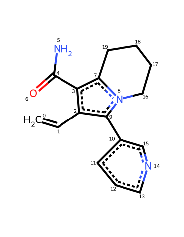 C=Cc1c(C(N)=O)c2n(c1-c1cccnc1)CCCC2